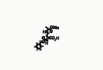 COC(=O)[C@H](C)NCC[C@H](NC(=O)OCc1ccccc1)C(=O)O